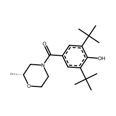 C[C@@H]1CN(C(=O)c2cc(C(C)(C)C)c(O)c(C(C)(C)C)c2)CCO1